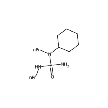 CCCNP(N)(=O)N(CCC)C1CCCCC1